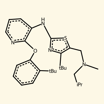 CC(C)CN(C)Cc1sc(Nc2cccnc2Oc2ccccc2C(C)(C)C)nc1C(C)(C)C